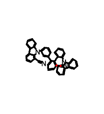 N#Cc1cccc(-c2cccc(-n3c4ccccc4c4cccc(C#N)c43)c2)c1-c1ccccc1-n1c2ccccc2c2ccccc21